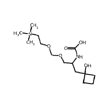 C[Si](C)(C)CCOCOCC(CC1(O)CCC1)NC(=O)O